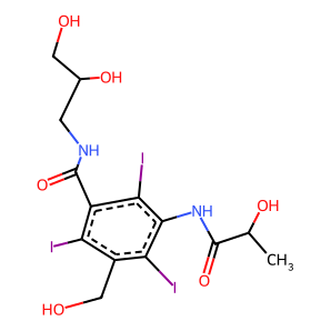 CC(O)C(=O)Nc1c(I)c(CO)c(I)c(C(=O)NCC(O)CO)c1I